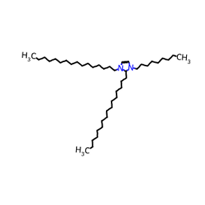 CCCCCCCCCCCCCCCCC1N(CCCCCCCCC)C=CN1CCCCCCCCCCCCCCCC